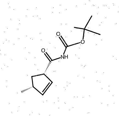 C[C@H]1C=C[C@@H](C(=O)NC(=O)OC(C)(C)C)C1